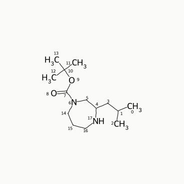 CC(C)CC1CN(C(=O)OC(C)(C)C)CCCN1